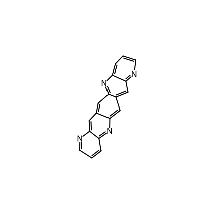 c1cnc2cc3cc4nc5cccnc5cc4cc3nc2c1